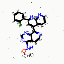 O=CONc1ncnc2c(-c3cc(-c4ccccc4F)nc4ncccc34)nccc12